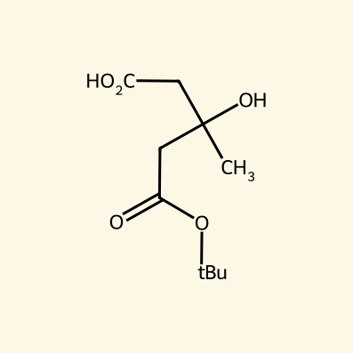 CC(O)(CC(=O)O)CC(=O)OC(C)(C)C